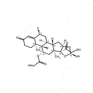 CCCCCCCCCC(=O)O[C@H]1C[C@@]2(C)[C@@H](C[C@H]3O[C@@H](CCC)O[C@]32C(=O)CO)[C@@H]2C[C@H](F)C3=CC(=O)CC[C@]3(C)[C@@]12F